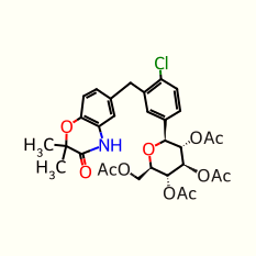 CC(=O)OC[C@H]1O[C@@H](c2ccc(Cl)c(Cc3ccc4c(c3)NC(=O)C(C)(C)O4)c2)[C@H](OC(C)=O)[C@@H](OC(C)=O)[C@@H]1OC(C)=O